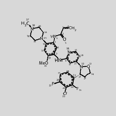 C=CC(=O)Nc1cc(Nc2cc(N3OCC[C@@H]3c3ccc(F)c(Cl)c3F)ncn2)c(OC)cc1N1CCN(C)CC1